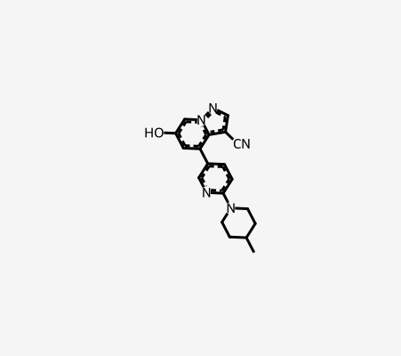 CC1CCN(c2ccc(-c3cc(O)cn4ncc(C#N)c34)cn2)CC1